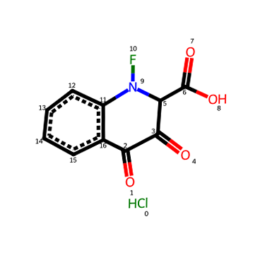 Cl.O=C1C(=O)C(C(=O)O)N(F)c2ccccc21